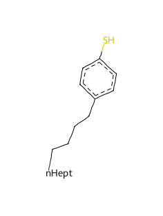 CCCCCCCCCCCc1ccc(S)cc1